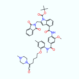 COc1cc(C(=O)N(C)c2ccc(C)cc2OCCCCC(=C=O)N2CCN(C)CC2)ccc1NC(=O)c1cccc2c1cc(CN1C(=O)c3ccccc3C1=O)n2C(=O)OC(C)(C)C